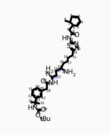 CC1C=CC=CC1CC(=O)Nc1nnc(CCCC/C(N)=C/C=C(\N)NC(=O)Cc2cccc(C(C)(C)NC(=O)OC(C)(C)C)c2)s1